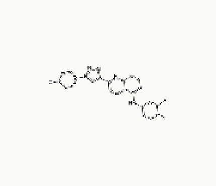 Cc1ccc(Nc2cccc3nc(-c4cn(-c5ccc(F)cc5)nn4)ccc23)cc1C